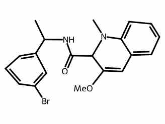 COC1=Cc2ccccc2N(C)C1C(=O)NC(C)c1cccc(Br)c1